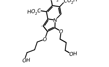 O=C(O)c1cn2c(OCCCO)c(OCCCO)[c]c2c(C(=O)O)c1C(=O)O